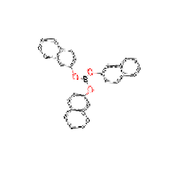 c1ccc2cc(OB(Oc3ccc4ccccc4c3)Oc3ccc4ccccc4c3)ccc2c1